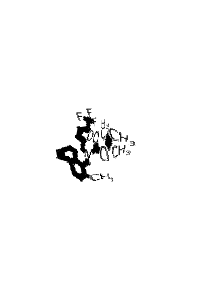 Cc1ccc2ccccc2c1CN(Cc1ccc(C(F)(F)F)o1)C(=O)OC(C)(C)C